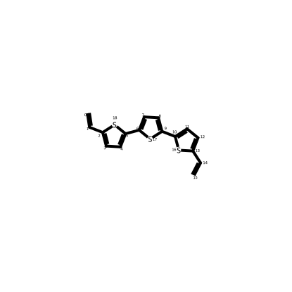 C=Cc1ccc(-c2ccc(-c3ccc(C=C)s3)s2)s1